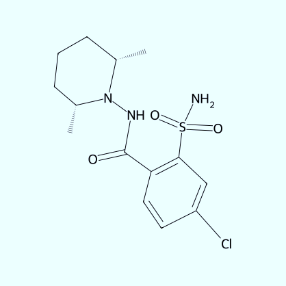 C[C@@H]1CCC[C@H](C)N1NC(=O)c1ccc(Cl)cc1S(N)(=O)=O